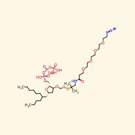 CCCCCCC(CCCC)C[C@H]1CC(OCSSC(C)(C)CNC(=O)CCOCCOCCOCCOCCN=[N+]=[N-])[C@@H](COP(=O)(O)OP(=O)(O)OP(=O)(O)O)O1